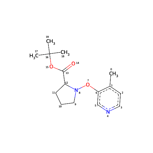 Cc1ccn[c]c1ON1CCCC1C(=O)OC(C)(C)C